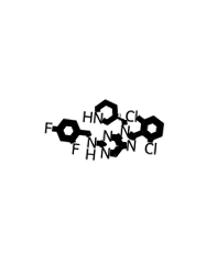 Fc1ccc(CNc2ncc3nc(-c4c(Cl)cccc4Cl)n(C[C@@H]4CCCNC4)c3n2)c(F)c1